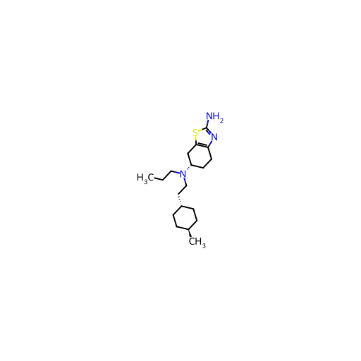 CCCN(CC[C@H]1CC[C@H](C)CC1)[C@H]1CCc2nc(N)sc2C1